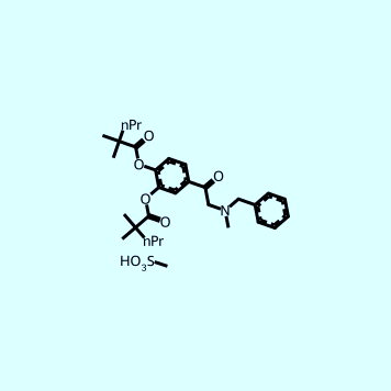 CCCC(C)(C)C(=O)Oc1ccc(C(=O)CN(C)Cc2ccccc2)cc1OC(=O)C(C)(C)CCC.CS(=O)(=O)O